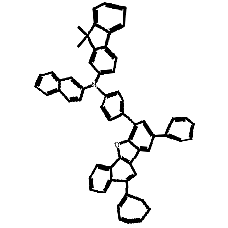 CC1(C)c2ccccc2-c2ccc(N(c3ccc(-c4cc(-c5ccccc5)cc5c4oc4c6ccccc6c(C6=CC=CCC6)cc54)cc3)c3ccc4ccccc4c3)cc21